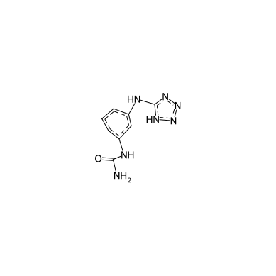 NC(=O)Nc1cccc(Nc2nnn[nH]2)c1